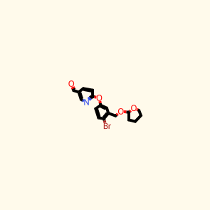 O=Cc1ccc(Oc2ccc(Br)c(COC3CCCCO3)c2)nc1